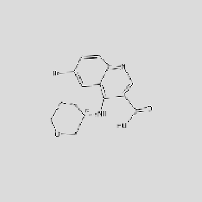 O=C(O)c1cnc2ccc(Br)cc2c1N[C@H]1CCCOC1